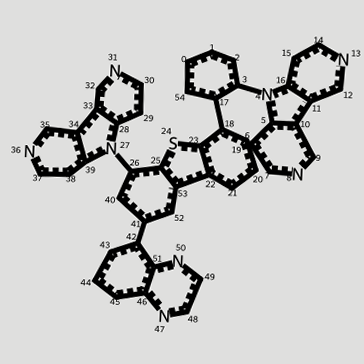 c1ccc(-n2c3ccncc3c3cnccc32)c(-c2cccc3c2sc2c(-n4c5ccncc5c5cnccc54)cc(-c4cccc5nccnc45)cc23)c1